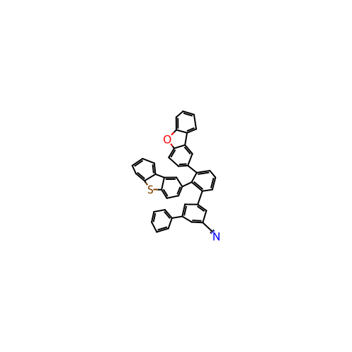 N#Cc1cc(-c2ccccc2)cc(-c2cccc(-c3ccc4oc5ccccc5c4c3)c2-c2ccc3sc4ccccc4c3c2)c1